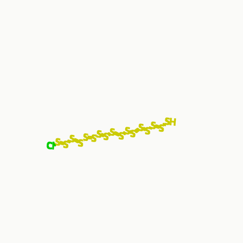 SSSSSSSSSSSSSSSSSCl